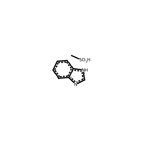 CS(=O)(=O)O.c1ccc2[nH]cnc2c1